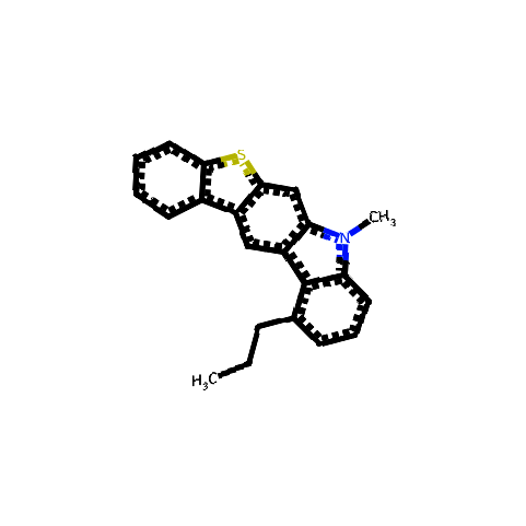 CCCc1cccc2c1c1cc3c(cc1n2C)sc1ccccc13